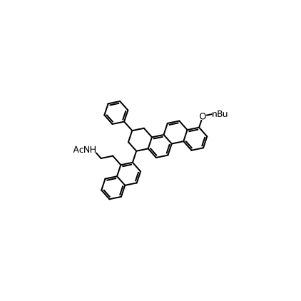 CCCCOc1cccc2c1ccc1c3c(ccc12)C(c1ccc2ccccc2c1CCNC(C)=O)CC(c1ccccc1)C3